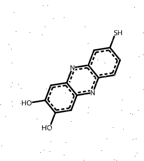 Oc1cc2nc3ccc(S)cc3nc2cc1O